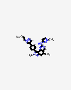 COCCn1cc(-c2ccc(-c3c4c(nn3C)CC(C)c3cnc(Nc5ccn(C)n5)nc3-4)cc2)cn1